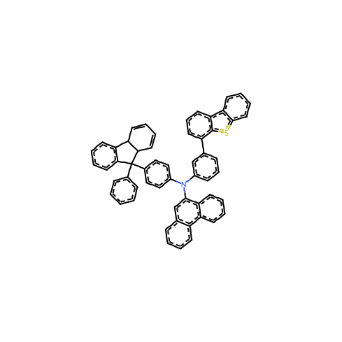 C1=CC2c3ccccc3C(c3ccccc3)(c3ccc(N(c4cccc(-c5cccc6c5sc5ccccc56)c4)c4cc5ccccc5c5ccccc45)cc3)C2C=C1